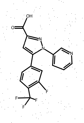 O=C(O)c1cc(-c2ccc(C(F)(F)F)c(F)c2)n(-c2cccnc2)n1